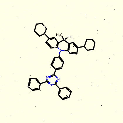 CC1(C)c2cc(C3CCCCC3)ccc2N(c2ccc(-c3nc(-c4ccccc4)nc(-c4ccccc4)n3)cc2)c2ccc(C3CCCCC3)cc21